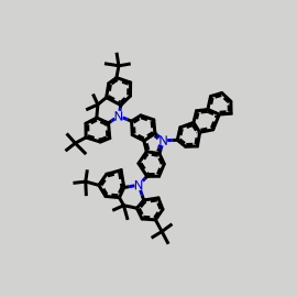 CC(C)(C)c1ccc2c(c1)C(C)(C)c1cc(C(C)(C)C)ccc1N2c1ccc2c(c1)c1cc(N3c4ccc(C(C)(C)C)cc4C(C)(C)c4cc(C(C)(C)C)ccc43)ccc1n2-c1ccc2cc3ccccc3cc2c1